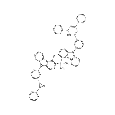 CC1(C)c2ccc3c(c2Oc2ccc4c(c21)c1ccccc1n4-c1cccc(C2=NC(c4ccccc4)=NC(c4ccccc4)N2)c1)c1ccccc1n3-c1cccc([C@@H]2N=C2c2ccccc2)c1